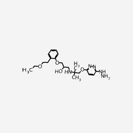 CCOCCc1ccccc1OCC(O)CNC(C)(C)COc1ccc(NN)nn1